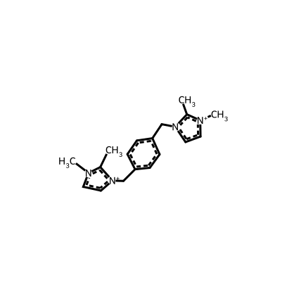 Cc1n(Cc2ccc(C[n+]3ccn(C)c3C)cc2)cc[n+]1C